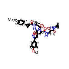 CCC[C@H](NC(=O)[C@@H]1C[C@]2(CC(c3cc(C)c(OCC)c(C)c3)=NO2)CN1C(=O)[C@@H](NC(=O)[C@H]1C[C@@H]1c1ccc(OC)cc1)C(C)(C)C)C(=O)C(=O)NC1CC1